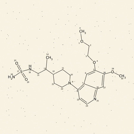 COCCOc1cc2c(N3CCC(C(C)CNS(N)(=O)=O)CC3)ccnc2cc1OC